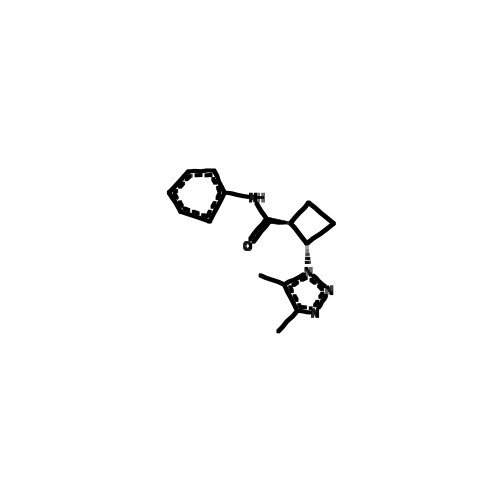 Cc1nnn([C@H]2CC[C@@H]2C(=O)Nc2ccccc2)c1C